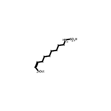 CCCCCCCC/C=C\CCCCCCCNS(=O)(=O)O